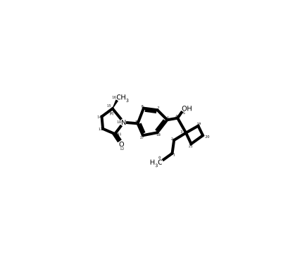 CCCC1(C(O)c2ccc(N3C(=O)CC[C@H]3C)cc2)CCC1